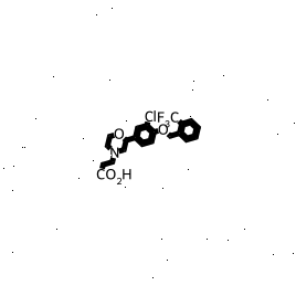 O=C(O)CCN1CCOC(c2ccc(OCc3ccccc3C(F)(F)F)c(Cl)c2)C1